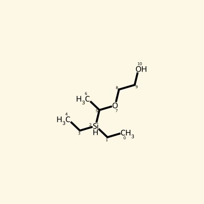 CC[SiH](CC)C(C)OCCO